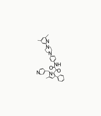 Cc1cc(C)nc(N2CCN(c3ccc(NC(=O)C(=O)c4c(-c5ccccc5)cc(C)n4Cc4ccncc4)cc3)CC2)c1